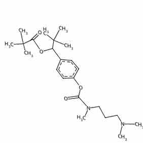 CN(C)CCCN(C)C(=O)Oc1ccc(C(OC(=O)C(C)(C)C)C(C)(C)C)cc1